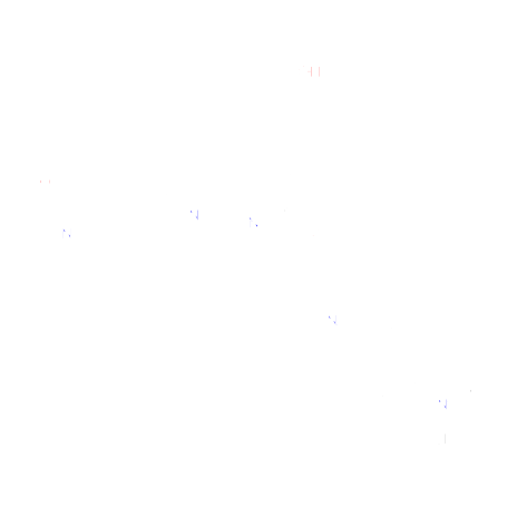 CN(C)c1ccc(N2CCC(CN(C(=O)C3CCC(O)CC3)c3cccc(CCc4ncco4)n3)CC2)cc1